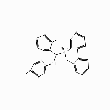 Cc1ccc(NC(c2ccccc2O)P2(=O)Oc3ccccc3-c3ccccc32)cc1